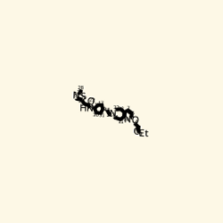 CCOCCOc1ccc2c(n1)CCN(CC[C@H]1CC[C@H](NC(=O)Cc3cnc(C)s3)CC1)CC2